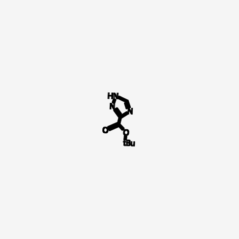 CC(C)(C)OC(=O)c1nc[nH]n1